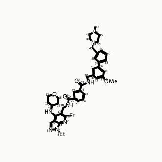 CCc1nc2c(cnn2CC)c(NC2CCOCC2)c1CNC(=O)c1cccc(C(=O)NCc2cc(OC)cc(-c3cccc(CN4CCN(C)CC4)c3)c2)c1